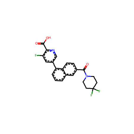 O=C(O)c1ncc(-c2cccc3cc(C(=O)N4CCC(F)(F)CC4)ccc23)cc1F